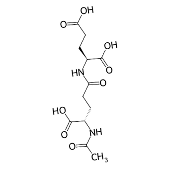 CC(=O)N[C@@H](CCC(=O)N[C@@H](CCC(=O)O)C(=O)O)C(=O)O